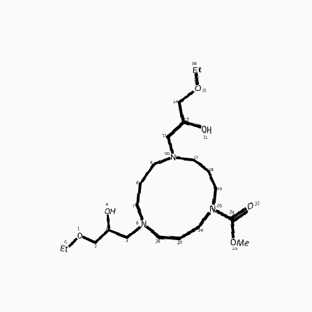 CCOCC(O)CN1CCCN(CC(O)COCC)CCCN(C(=O)OC)CCC1